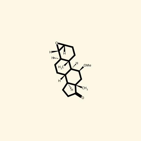 CO[C@H]1C[C@]2(C)C(=O)CC[C@H]2[C@@H]2CC[C@H]3[C@@H]4O[C@@H]4CC[C@]3(C)[C@H]21